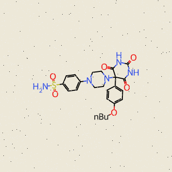 CCCCOc1ccc(C2(N3CCN(c4ccc(S(N)(=O)=O)cc4)CC3)C(=O)NC(=O)NC2=O)cc1